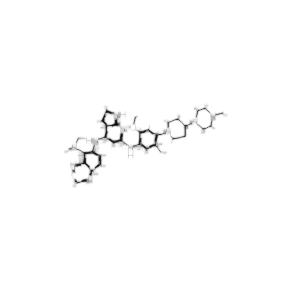 COc1cc(N2CCC(N3CCN(C)CC3)CC2)c(C)cc1Nc1cc(Nc2ccc3nccnc3c2N(C)C)c2cc[nH]c2n1